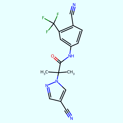 CC(C)(C(=O)Nc1ccc(C#N)c(C(F)(F)F)c1)n1cc(C#N)cn1